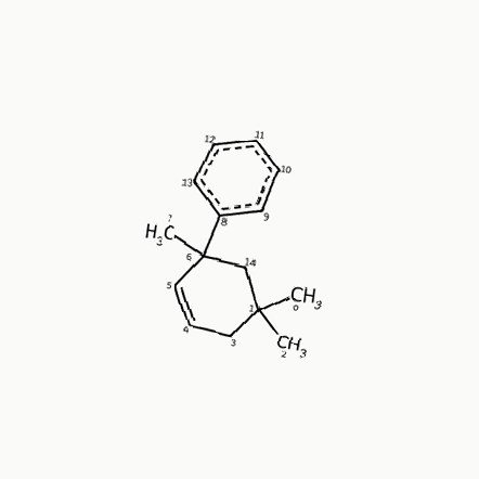 CC1(C)CC=CC(C)(c2ccccc2)C1